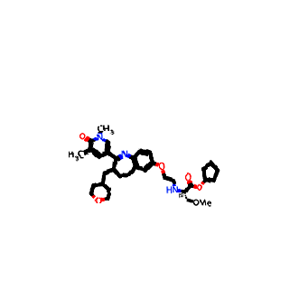 COC[C@H](NCCOc1ccc2c(c1)CCC(CC1CCOCC1)C(c1cc(C)c(=O)n(C)c1)=N2)C(=O)OC1CCCC1